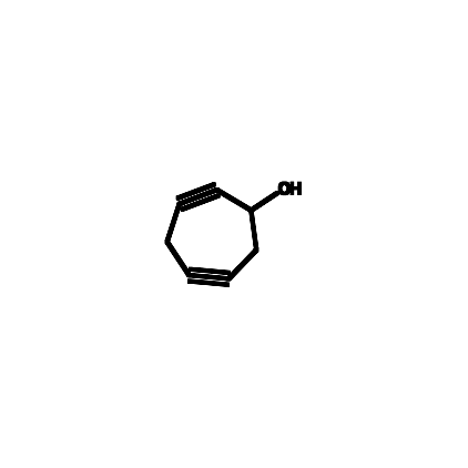 OC1C#CCC#CC1